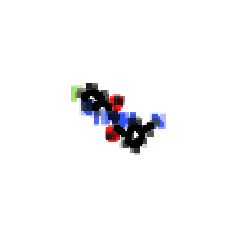 N#Cc1cccc(C(=O)NNC(=O)c2ccc(F)nc2)c1